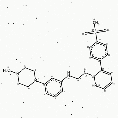 CN1CCN(c2cccc(NCNC3NC=CC=C3c3ccc(S(C)(=O)=O)cc3)c2)CC1